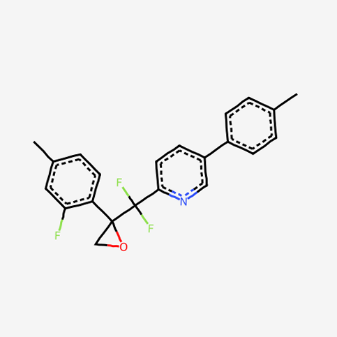 Cc1ccc(-c2ccc(C(F)(F)C3(c4ccc(C)cc4F)CO3)nc2)cc1